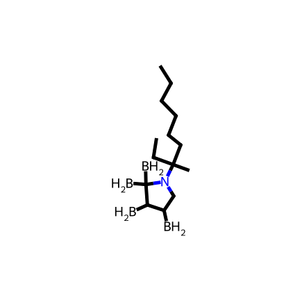 BC1CN(C(C)(CC)CCCCCC)C(B)(B)C1B